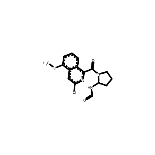 COc1cccc2c(C(=O)N3CCCC3NC=O)nc(Cl)cc12